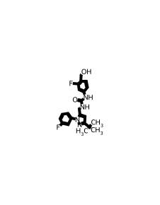 CC(C)(C)c1cc(CNC(=O)Nc2ccc(CO)c(F)c2)n(-c2cccc(F)c2)n1